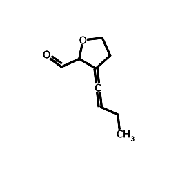 CCC=C=C1CCOC1C=O